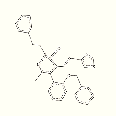 Cc1nn(CCc2ccccc2)c(=O)c(C=Cc2ccsc2)c1-c1ccccc1OCc1ccccc1